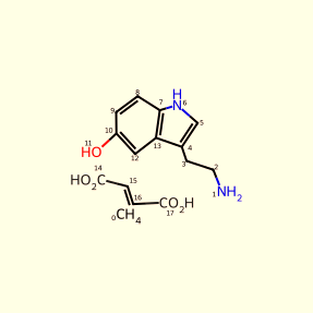 C.NCCc1c[nH]c2ccc(O)cc12.O=C(O)C=CC(=O)O